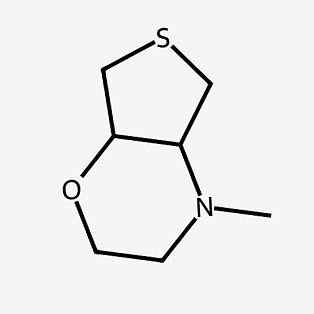 CN1CCOC2CSCC21